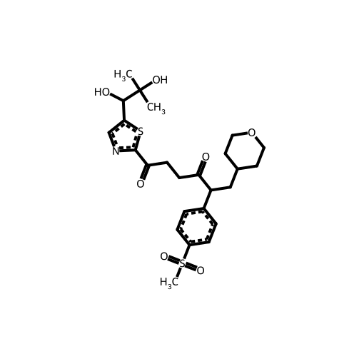 CC(C)(O)C(O)c1cnc(C(=O)CCC(=O)C(CC2CCOCC2)c2ccc(S(C)(=O)=O)cc2)s1